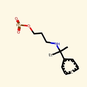 CCC(C)(NCCCO[SH](=O)=O)c1ccccc1